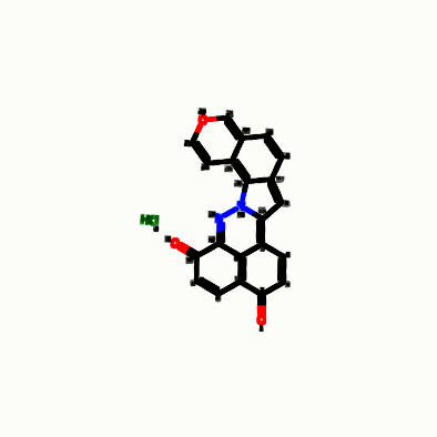 Cl.O=c1ccc2c3c1ccc(=O)c3nn1c2cc2ccc3coccc3c21